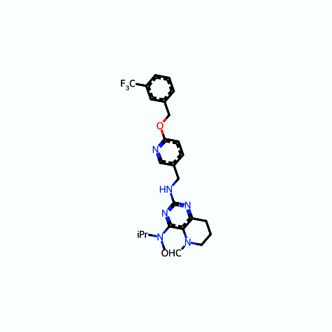 CC(C)N(C)c1nc(NCc2ccc(OCc3cccc(C(F)(F)F)c3)nc2)nc2c1N(C=O)CCC2